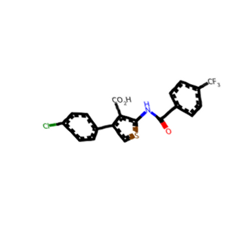 O=C(Nc1scc(-c2ccc(Cl)cc2)c1C(=O)O)c1ccc(C(F)(F)F)cc1